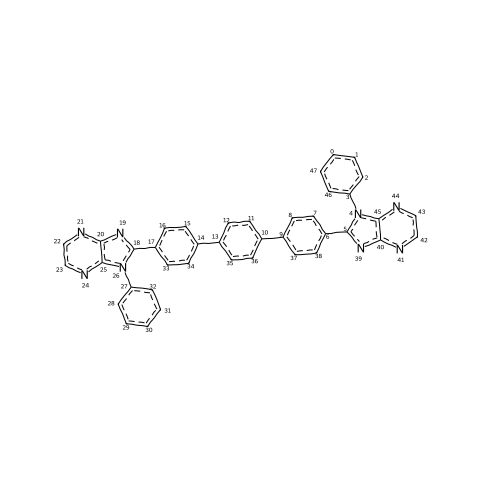 c1ccc(-n2c(-c3ccc(-c4ccc(-c5ccc(-c6nc7nccnc7n6-c6ccccc6)cc5)cc4)cc3)nc3nccnc32)cc1